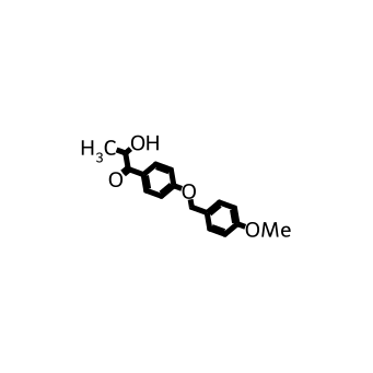 COc1ccc(COc2ccc(C(=O)C(C)O)cc2)cc1